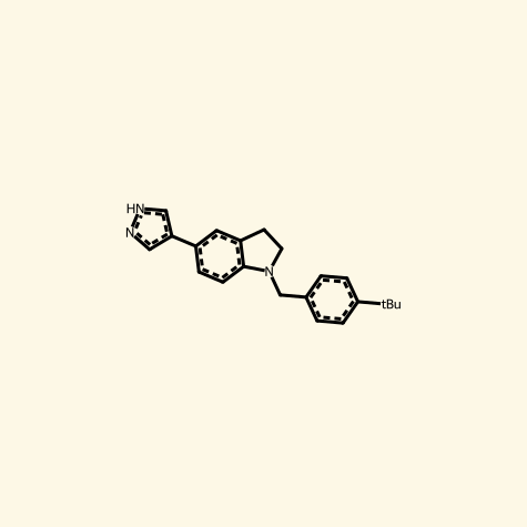 CC(C)(C)c1ccc(CN2CCc3cc(-c4cn[nH]c4)ccc32)cc1